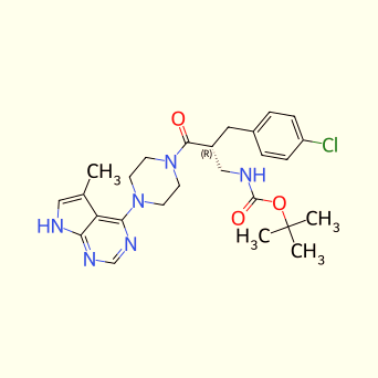 Cc1c[nH]c2ncnc(N3CCN(C(=O)[C@@H](CNC(=O)OC(C)(C)C)Cc4ccc(Cl)cc4)CC3)c12